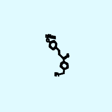 CCCCCCCCCOc1ccc(C=CC(=S)c2ccc(CC(C)C)cc2)cc1